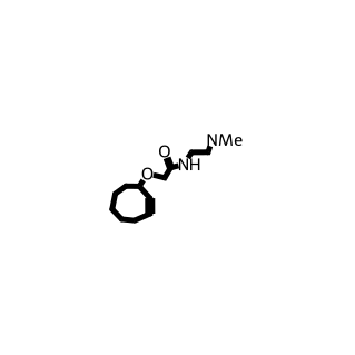 CNCCNC(=O)COC1C#CCCCCC1